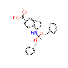 CC(Nc1cccc2cc(B(O)O)ccc12)(OCc1ccccc1)OCc1ccccc1